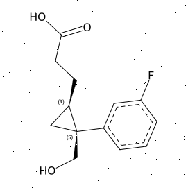 O=C(O)CC[C@@H]1C[C@@]1(CO)c1cccc(F)c1